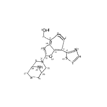 OCc1ccc(-c2nccs2)c2oc(N3CC4CCCC(C3)N4)nc12